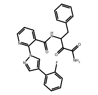 NC(=O)C(=O)C(Cc1ccccc1)NC(=O)c1cccnc1-n1cc(-c2ccccc2F)cn1